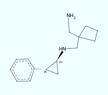 NCC1(CN[C@H]2C[C@@H]2c2ccccc2)CCC1